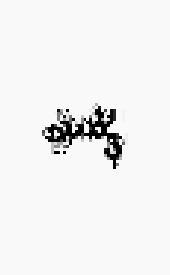 CCOC1(c2ccc(Nc3ccc(-c4cnc5cc(F)ccn45)c4c3C(=O)NC4)nc2CN(C)C)CCOCC1